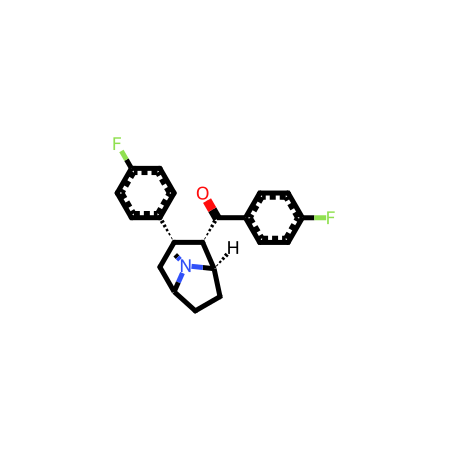 CN1C2CC[C@@H]1[C@@H](C(=O)c1ccc(F)cc1)[C@@H](c1ccc(F)cc1)C2